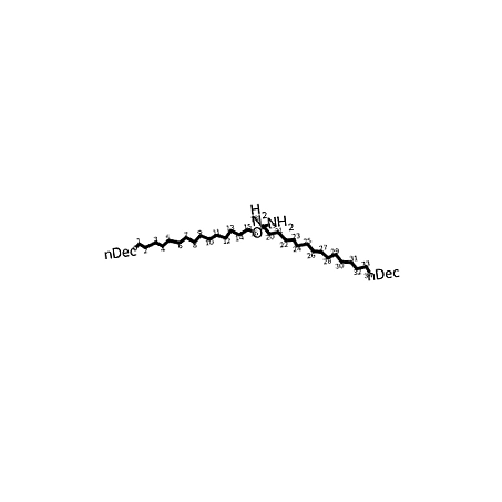 CCCCCCCCCCCCCCCCCCCCCCCCCOC(N)(N)CCCCCCCCCCCCCCCCCCCCCCCC